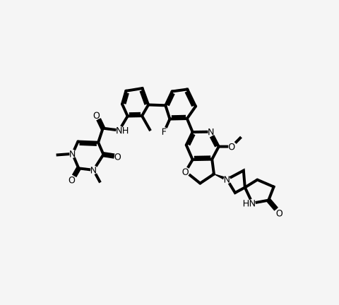 COc1nc(-c2cccc(-c3cccc(NC(=O)c4cn(C)c(=O)n(C)c4=O)c3C)c2F)cc2c1[C@@H](N1CC3(CCC(=O)N3)C1)CO2